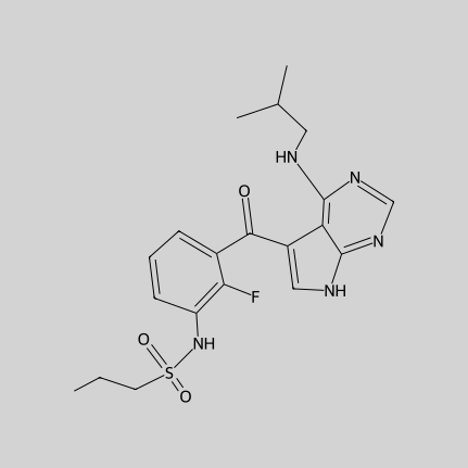 CCCS(=O)(=O)Nc1cccc(C(=O)c2c[nH]c3ncnc(NCC(C)C)c23)c1F